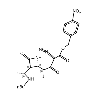 CCCCN[C@H](C)[C@H]1C(=O)N[C@@H]1[C@@H](C)C(=O)C(=[N+]=[N-])C(=O)OCc1ccc([N+](=O)[O-])cc1